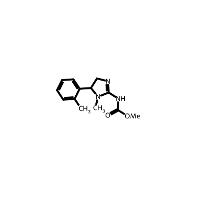 COC(=O)NC1=NCC(c2ccccc2C)N1C